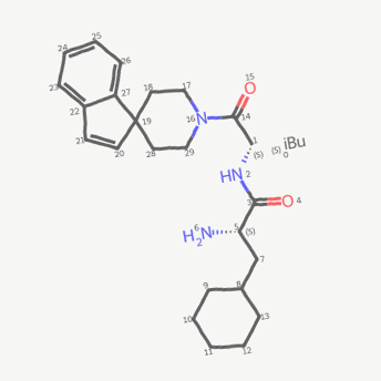 CC[C@H](C)[C@H](NC(=O)[C@@H](N)CC1CCCCC1)C(=O)N1CCC2(C=Cc3ccccc32)CC1